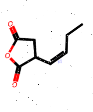 CC/C=C\C1CC(=O)OC1=O